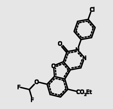 CCOC(=O)c1ccc(OC(F)F)c2oc3c(=O)n(-c4ccc(Cl)cc4)ncc3c12